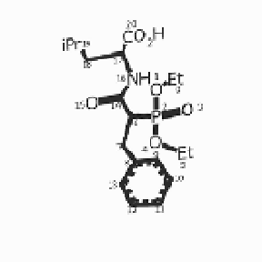 CCOP(=O)(OCC)C(Cc1ccccc1)C(=O)N[C@@H](CC(C)C)C(=O)O